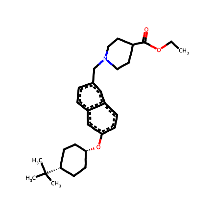 CCOC(=O)C1CCN(Cc2ccc3cc(O[C@H]4CC[C@@H](C(C)(C)C)CC4)ccc3c2)CC1